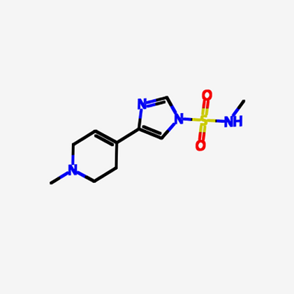 CNS(=O)(=O)n1cnc(C2=CCN(C)CC2)c1